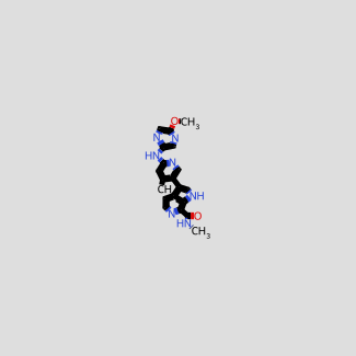 CNC(=O)c1nccc2c(-c3cnc(Nc4cnc(OC)cn4)cc3C)c[nH]c12